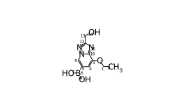 CCOc1cc(B(O)O)cn2nc(CO)nc12